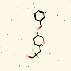 O=CC(F)(F)C[C@H]1CC[C@H](OCc2ccccc2)CO1